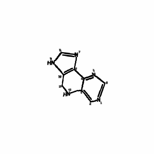 c1ncc2c(n1)-c1nc[nH]c1CN2